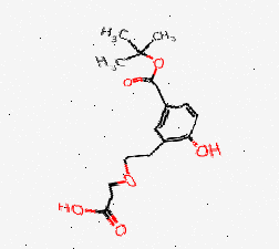 CC(C)(C)OC(=O)c1ccc(O)c(CCOCC(=O)O)c1